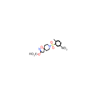 Cc1ccc([N+](=O)[O-])cc1S(=O)(=O)N1CCC2(CC1)CC(OC(=O)O)=NO2